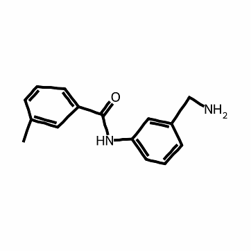 Cc1cccc(C(=O)Nc2cccc(CN)c2)c1